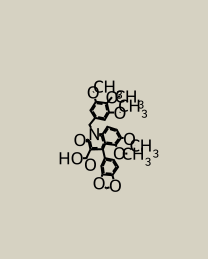 COc1cc(Cn2c(=O)c(C(=O)O)c(-c3ccc4c(c3)OCO4)c3c(OC)c(OC)ccc32)cc(OC)c1OC